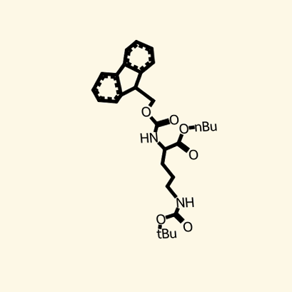 CCCCOC(=O)C(CCCNC(=O)OC(C)(C)C)NC(=O)OCC1c2ccccc2-c2ccccc21